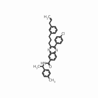 C=CCc1cccc(CCCc2nc3cc(C(=O)NC(C)c4ccc(C)cc4)ccc3nc2-c2ccc(Cl)cc2)c1